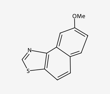 COc1ccc2ccc3scnc3c2c1